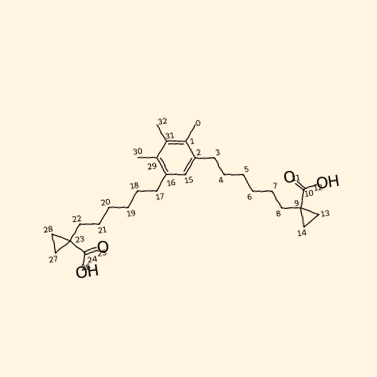 Cc1c(CCCCCCC2(C(=O)O)CC2)cc(CCCCCCC2(C(=O)O)CC2)c(C)c1C